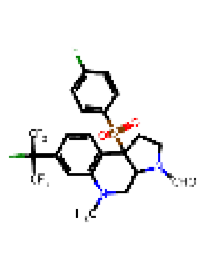 CN1CC2N(C=O)CCC2(S(=O)(=O)c2ccc(F)cc2)c2ccc(C(F)(C(F)(F)F)C(F)(F)F)cc21